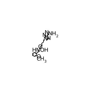 COc1ccccc1CNC(O)OCCCCn1cnc2c(N)ncnc21